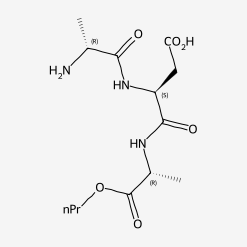 CCCOC(=O)[C@@H](C)NC(=O)[C@H](CC(=O)O)NC(=O)[C@@H](C)N